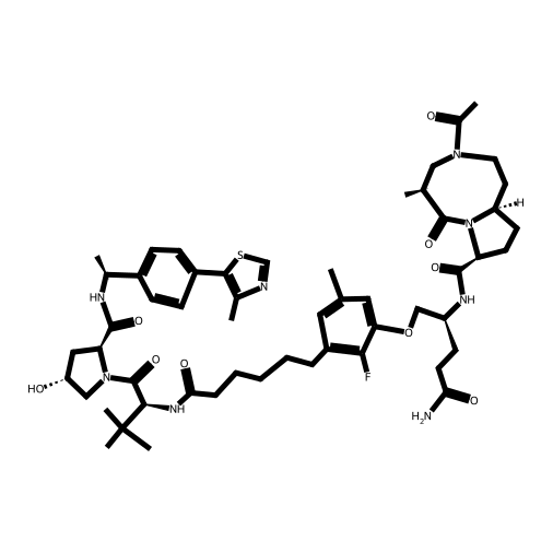 CC(=O)N1CC[C@H]2CC[C@@H](C(=O)N[C@@H](CCC(N)=O)COc3cc(C)cc(CCCCCC(=O)N[C@H](C(=O)N4C[C@H](O)C[C@H]4C(=O)N[C@@H](C)c4ccc(-c5scnc5C)cc4)C(C)(C)C)c3F)N2C(=O)[C@@H](C)C1